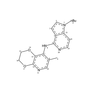 CCCCn1ccc2c(Nc3c(C)cnc4c3OCCO4)nccc21